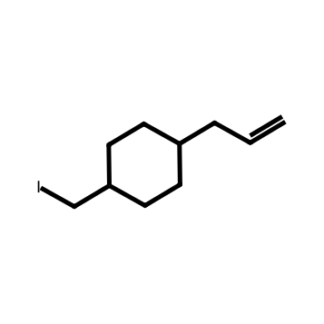 C=CCC1CCC(CI)CC1